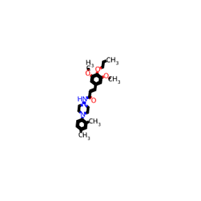 CCCOc1c(OC)cc(C=CC(=O)NN2CCN(c3ccc(C)cc3C)CC2)cc1OC